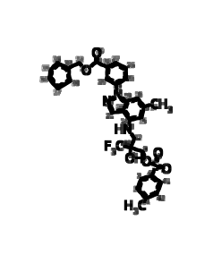 Cc1ccc(S(=O)(=O)OCC(O)(CNc2cc(C)cc3c2cnn3-c2cccc(C(=O)OCc3ccccc3)c2)C(F)(F)F)cc1